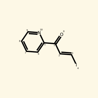 O=C(/C=C/I)c1ccccn1